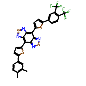 Cc1ccc(-c2ccc(-c3c4c(c(-c5ccc(-c6ccc(C(F)(F)F)c(C(F)(F)F)c6)s5)c5nsnc35)N=S=N4)s2)cc1C